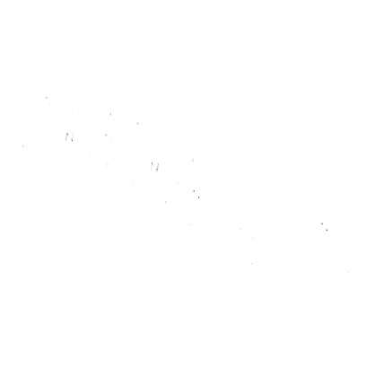 O=C1COC2(CCN(S(=O)(=O)N3CC=C(c4ccc5cccnc5c4)CC3)CC2)CN1C1CC1